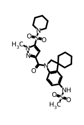 Cn1nc(C(=O)N2CC3(CCCCC3)c3cc(NS(C)(=O)=O)ccc32)cc1S(=O)(=O)N1CCCCC1